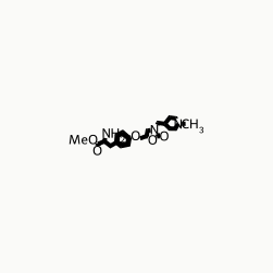 COC(=O)C(N)Cc1ccc(OCC2CN(CC3CCN(C)CC3)C(=O)O2)cc1